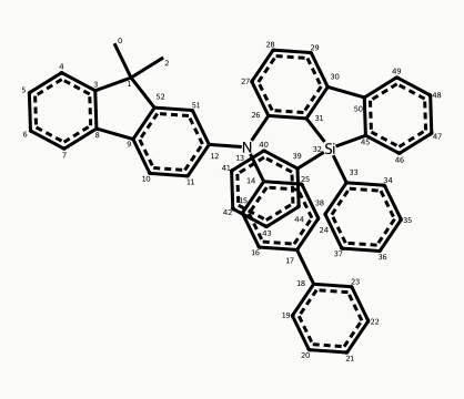 CC1(C)c2ccccc2-c2ccc(N(c3ccc(-c4ccccc4)cc3)c3cccc4c3[Si](c3ccccc3)(c3ccccc3)c3ccccc3-4)cc21